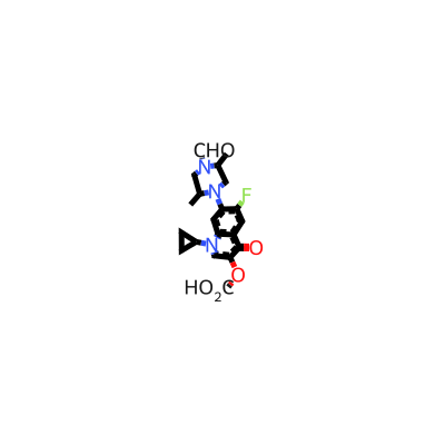 CC1CN(c2cc3c(cc2F)c(=O)c(OC(=O)O)cn3C2CC2)C(C)CN1C=O